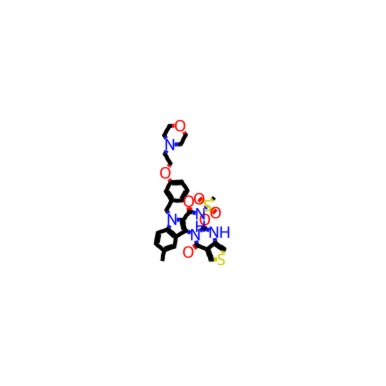 Cc1ccc2c(c1)c(-n1c(=O)[nH]c3cscc3c1=O)c(C(=O)NS(C)(=O)=O)n2Cc1cccc(OCCN2CCOCC2)c1